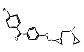 CN(CC1CC1COc1ccc(C(=O)c2ccc(Br)cc2)cc1)C1CC1